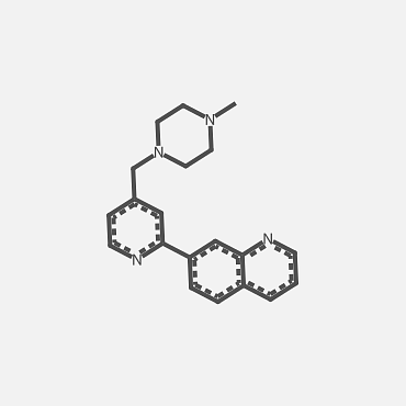 CN1CCN(Cc2ccnc(-c3ccc4cccnc4c3)c2)CC1